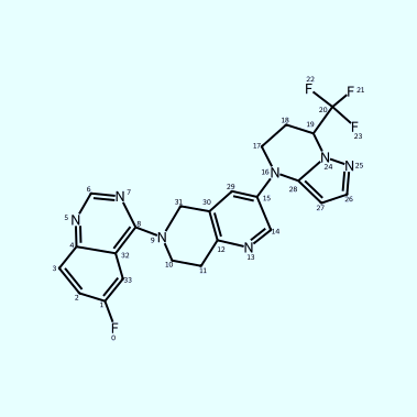 Fc1ccc2ncnc(N3CCc4ncc(N5CCC(C(F)(F)F)n6nccc65)cc4C3)c2c1